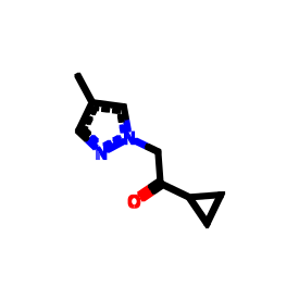 Cc1cnn(CC(=O)C2CC2)c1